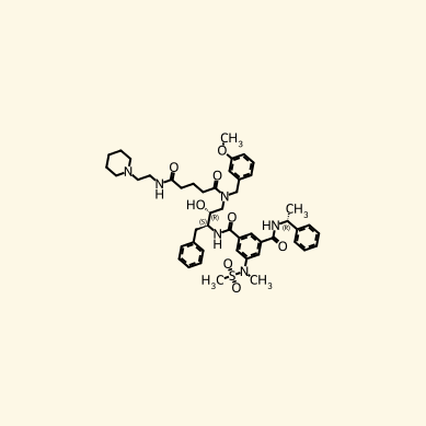 COc1cccc(CN(C[C@@H](O)[C@H](Cc2ccccc2)NC(=O)c2cc(C(=O)N[C@H](C)c3ccccc3)cc(N(C)S(C)(=O)=O)c2)C(=O)CCCC(=O)NCCN2CCCCC2)c1